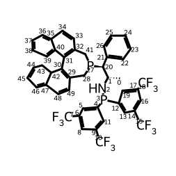 C[C@H](NP(c1cc(C(F)(F)F)cc(C(F)(F)F)c1)c1cc(C(F)(F)F)cc(C(F)(F)F)c1)[C@H](c1ccccc1)P1CC2=C(c3c(ccc4ccccc34)C1)C1CC=CC=C1C=C2